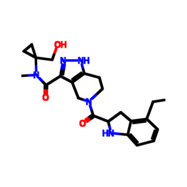 CCc1cccc2c1CC(C(=O)N1CCc3[nH]nc(C(=O)N(C)C4(CO)CC4)c3C1)N2